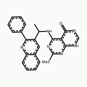 CSc1nc(NC(C)c2cc3ccccc3nc2-c2ccccc2)c2c(=O)nc[nH]c2n1